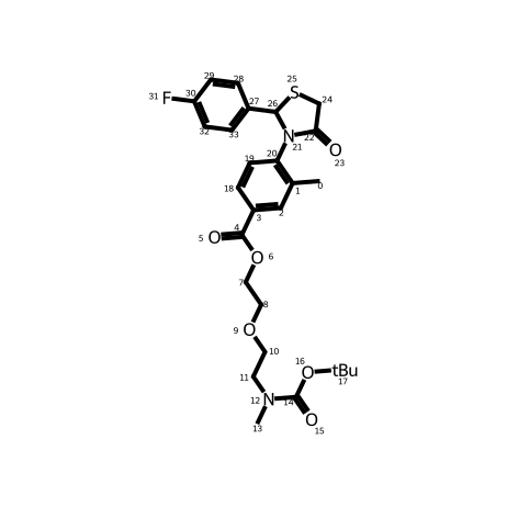 Cc1cc(C(=O)OCCOCCN(C)C(=O)OC(C)(C)C)ccc1N1C(=O)CSC1c1ccc(F)cc1